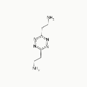 NCCc1nnc(CCN)nn1